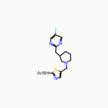 CC(=O)Nc1ncc(CN2CCCC(Cc3ncc(F)cn3)C2)s1